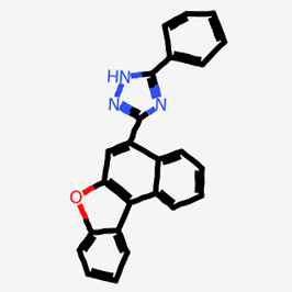 c1ccc(-c2nc(-c3cc4oc5ccccc5c4c4ccccc34)n[nH]2)cc1